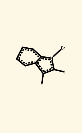 Fc1c(I)n(Br)c2ccccc12